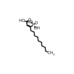 CCCCCCCCCCC(=CC(=O)O)P(=O)(O)O